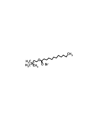 CCCCCCCCCCCC(=O)OCC[N+](C)(C)C.[Br-]